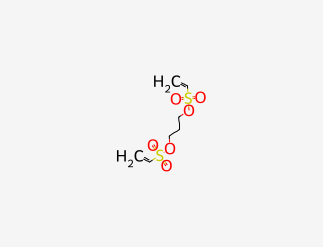 C=CS(=O)(=O)OCCCOS(=O)(=O)C=C